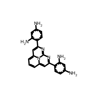 Nc1ccc(C2=CC3=CC=CC4=CC(c5ccc(N)cc5N)=NC(=N2)N34)c(N)c1